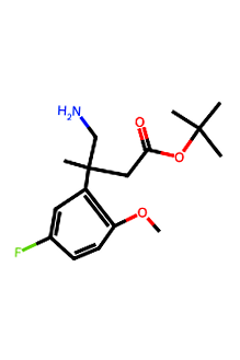 COc1ccc(F)cc1C(C)(CN)CC(=O)OC(C)(C)C